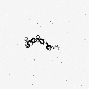 CO/N=C1\CC2(CCN(C(=O)C3(F)CCN(Cc4ccnc(N)c4)CC3)CC2)Oc2ccsc21